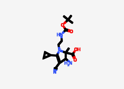 CC(C)(C)OC(=O)NCCN1C(C2CC2)=C(C#N)C(N)C1(C)C(=O)O